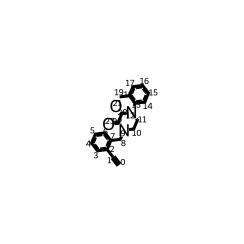 C#Cc1ccccc1CN1CCN(c2ccccc2C)C(=O)C1=O